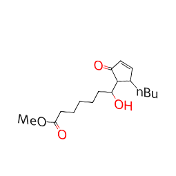 CCCCC1C=CC(=O)C1C(O)CCCCCC(=O)OC